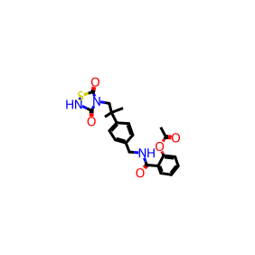 CC(=O)Oc1ccccc1C(=O)NCc1ccc(C(C)(C)Cn2c(=O)[nH]sc2=O)cc1